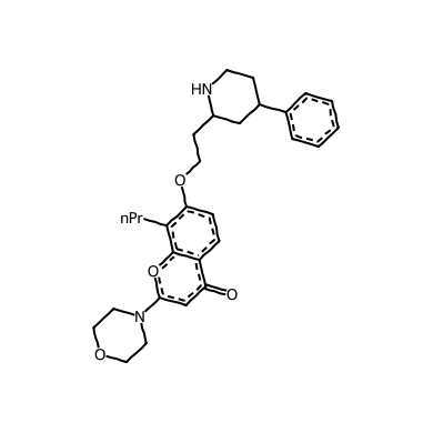 CCCc1c(OCCC2CC(c3ccccc3)CCN2)ccc2c(=O)cc(N3CCOCC3)oc12